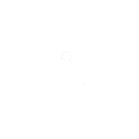 CC(N)SOCc1ccc(C(=O)O)o1